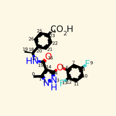 Cc1n[nH]c(Oc2cc(F)ccc2F)c1C(=O)N[C@@H](C)c1ccc(C(=O)O)cc1